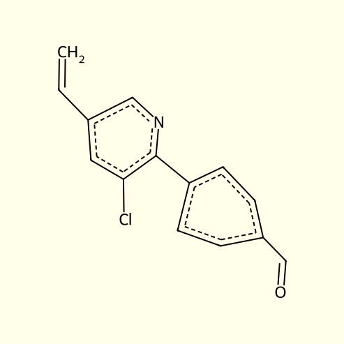 C=Cc1cnc(-c2ccc(C=O)cc2)c(Cl)c1